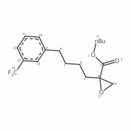 CCCCOC(=O)C1(CCCCc2cccc(C(F)(F)F)c2)CO1